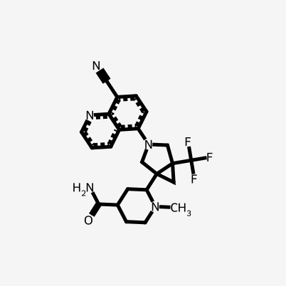 CN1CCC(C(N)=O)CC1C12CN(c3ccc(C#N)c4ncccc34)CC1(C(F)(F)F)C2